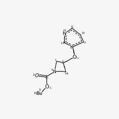 CCCCOC(=O)N1CC(Oc2cccnc2)C1